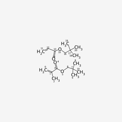 C=C(C)C(=O)OCC(C)(C)C.C=CC(=O)OCC(C)(C)C